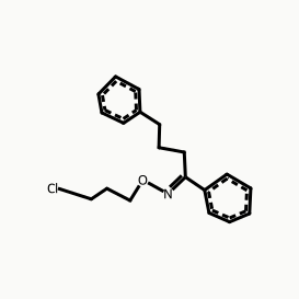 ClCCCON=C(CCCc1ccccc1)c1ccccc1